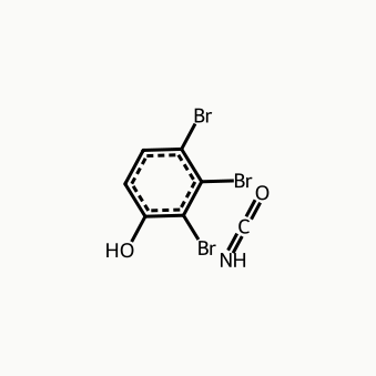 N=C=O.Oc1ccc(Br)c(Br)c1Br